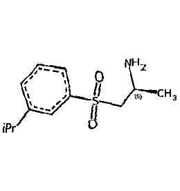 CC(C)c1cccc(S(=O)(=O)C[C@H](C)N)c1